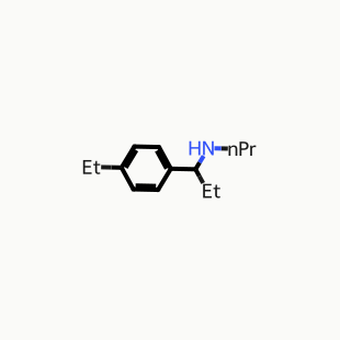 CCCNC(CC)c1ccc(CC)cc1